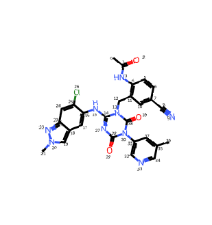 CC(=O)Nc1ccc(C#N)cc1Cn1c(Nc2cc3cn(C)nc3cc2Cl)nc(=O)n(-c2cncc(C)c2)c1=O